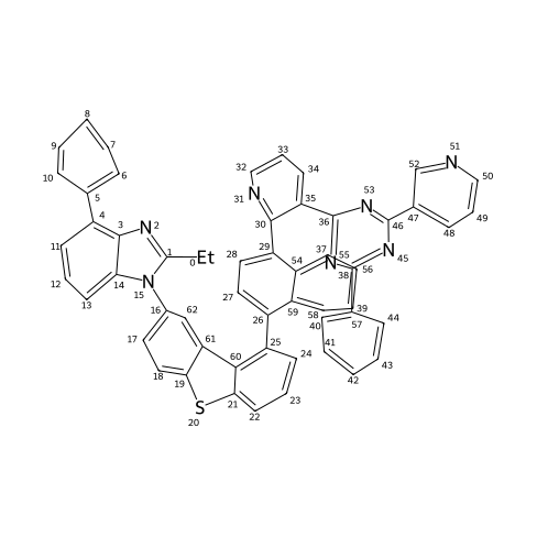 CCc1nc2c(-c3ccccc3)cccc2n1-c1ccc2sc3cccc(-c4ccc(-c5ncccc5-c5nc(-c6ccccc6)nc(-c6cccnc6)n5)c5ccccc45)c3c2c1